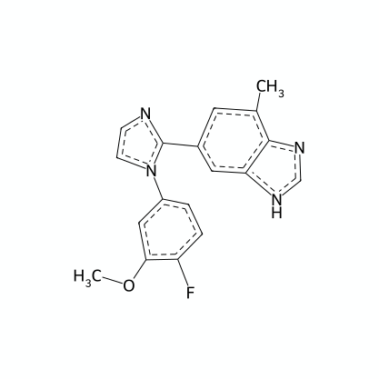 COc1cc(-n2ccnc2-c2cc(C)c3nc[nH]c3c2)ccc1F